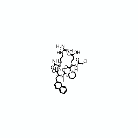 N=C(N)NCCC[C@H](NC(=O)[C@H](Cc1ccc2ccccc2c1)NC(=O)[C@@H]1CCCCN1C(=O)[C@H](CCC(=O)O)NC(=O)CCl)C(N)=O